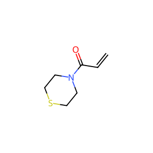 C=CC(=O)N1CCSCC1